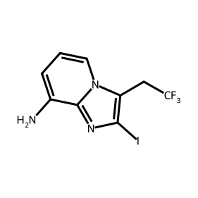 Nc1cccn2c(CC(F)(F)F)c(I)nc12